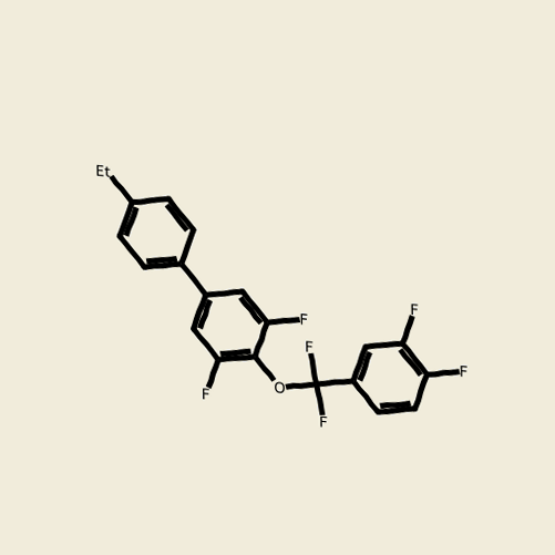 CCc1ccc(-c2cc(F)c(OC(F)(F)c3ccc(F)c(F)c3)c(F)c2)cc1